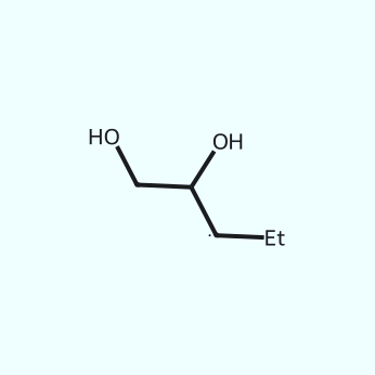 CC[CH]C(O)CO